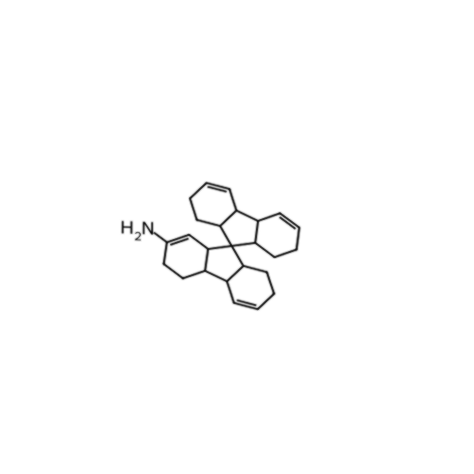 NC1=CC2C(CC1)C1C=CCCC1C21C2CCC=CC2C2C=CCCC21